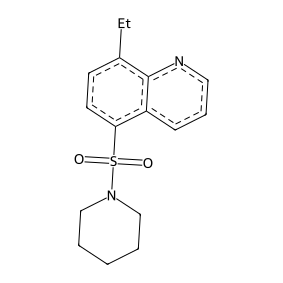 CCc1ccc(S(=O)(=O)N2CCCCC2)c2cccnc12